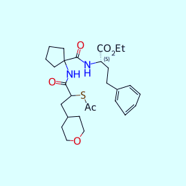 CCOC(=O)[C@H](CCc1ccccc1)NC(=O)C1(NC(=O)C(CC2CCOCC2)SC(C)=O)CCCC1